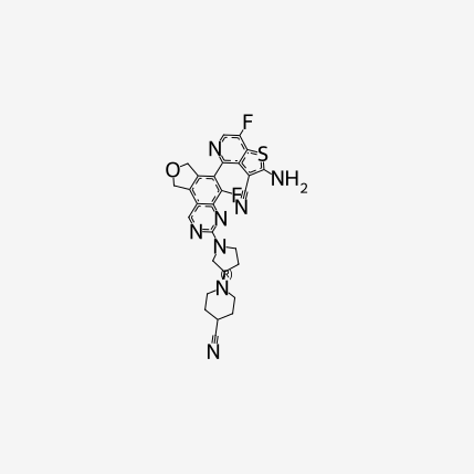 N#Cc1c(N)sc2c(F)cnc(-c3c4c(c5cnc(N6CC[C@@H](N7CCC(C#N)CC7)C6)nc5c3F)COC4)c12